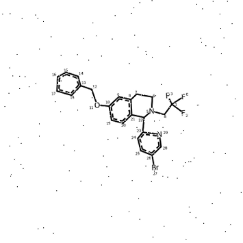 FC(F)(F)CN1CCc2cc(OCc3ccccc3)ccc2C1c1ccc(Br)cn1